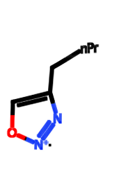 CCCCC1=CO[N+]=N1